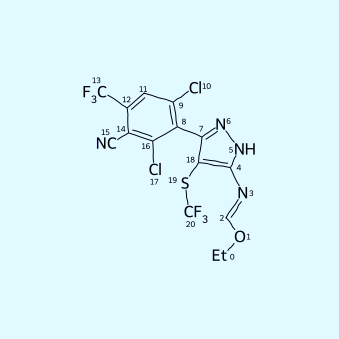 CCOC=Nc1[nH]nc(-c2c(Cl)cc(C(F)(F)F)c(C#N)c2Cl)c1SC(F)(F)F